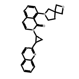 O=c1c2c(N3CCC4(COC4)C3)cccc2ccn1C1CC1c1ccc2ccccc2n1